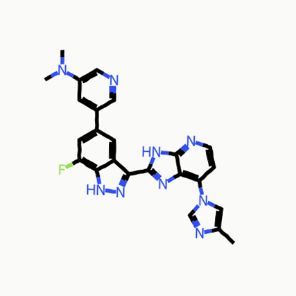 Cc1cn(-c2ccnc3[nH]c(-c4n[nH]c5c(F)cc(-c6cncc(N(C)C)c6)cc45)nc23)cn1